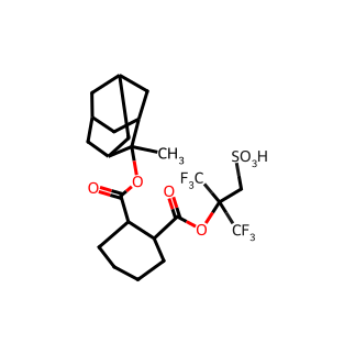 CC1(OC(=O)C2CCCCC2C(=O)OC(CS(=O)(=O)O)(C(F)(F)F)C(F)(F)F)C2CC3CC(C2)CC1C3